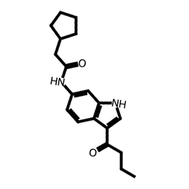 CCCC(=O)c1c[nH]c2cc(NC(=O)CC3CCCC3)ccc12